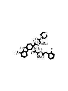 CCC(C)[C@H](NC(=O)Cc1ccccc1F)C(=O)N[C@]1(C(=O)NC(C(=O)N2CCOCC2)[C@@H](C)CC)CCc2[nH]c3c(C(F)(F)F)cccc3c2C1